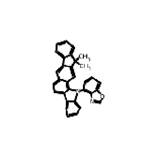 CC1(C)c2ccccc2-c2cc3ccc4c5ccccc5n(-c5cccc6ocnc56)c4c3cc21